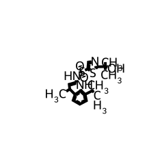 CC(C)c1cccc2c1NC(NS(=O)(=O)c1cnc(C(C)(C)O)s1)=CC2C